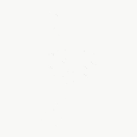 CN(C)CCc1cccc(Nc2nccc(-c3c(-c4ccc(OCc5ccccc5)cc4)nn4ncccc34)n2)c1